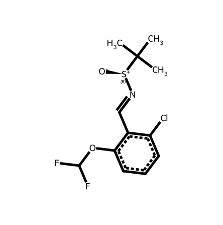 CC(C)(C)[S@+]([O-])N=Cc1c(Cl)cccc1OC(F)F